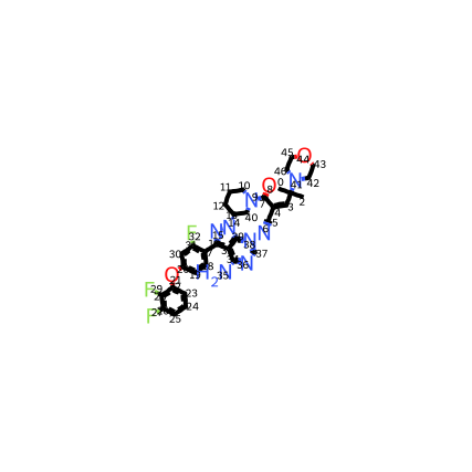 CC(C)(/C=C(/C#N)C(=O)N1CCC[C@H](n2nc(-c3ccc(Oc4cccc(F)c4F)cc3F)c3c(N)ncnc32)C1)N1CCOCC1